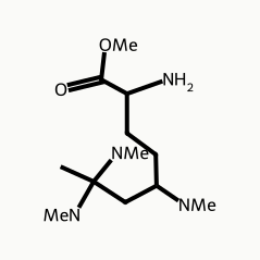 CNC(CCC(N)C(=O)OC)CC(C)(NC)NC